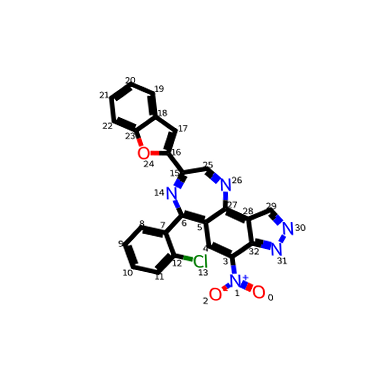 O=[N+]([O-])c1cc2c(-c3ccccc3Cl)nc(-c3cc4ccccc4o3)cnc2c2cnnc12